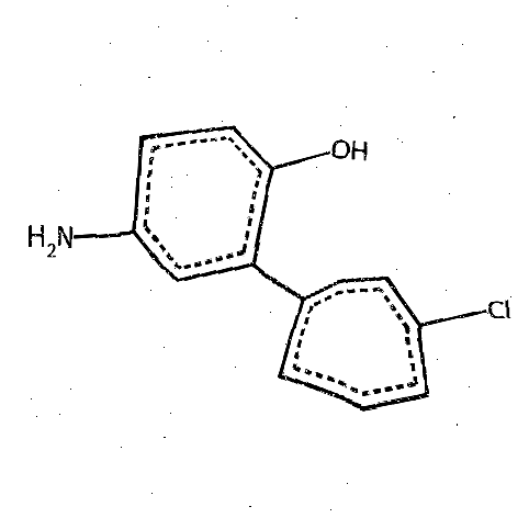 Nc1ccc(O)c(-c2cccc(Cl)c2)c1